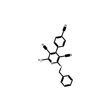 N#Cc1ccc(-c2c(C#N)c(N)nc(SCc3ccccc3)c2C#N)cc1